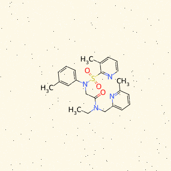 CCN(Cc1cccc(C)n1)C(=O)CN(c1cccc(C)c1)S(=O)(=O)c1ncccc1C